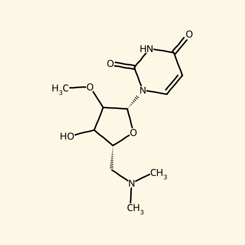 COC1C(O)[C@@H](CN(C)C)O[C@H]1n1ccc(=O)[nH]c1=O